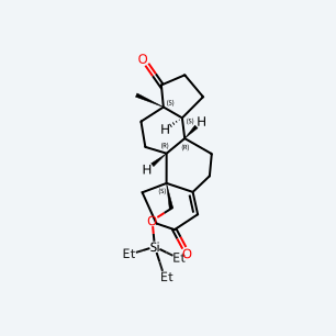 CC[Si](CC)(CC)OC[C@]12CCC(=O)C=C1CC[C@@H]1[C@H]2CC[C@]2(C)C(=O)CC[C@@H]12